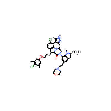 Cc1cc(OCCCc2c3n(c4c(-c5c(C)nn(C)c5C)c(Cl)ccc24)C(C)CN(c2cc(CCN4CCOCC4)cc4cc(C(=O)O)n(C)c24)C3=O)cc(C)c1Cl